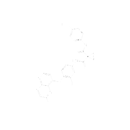 Cc1ccc(NC(=O)C2(C(=O)Nc3ccc(Oc4ccnc5ncc(C)nc45)c(F)c3)CC2)cc1